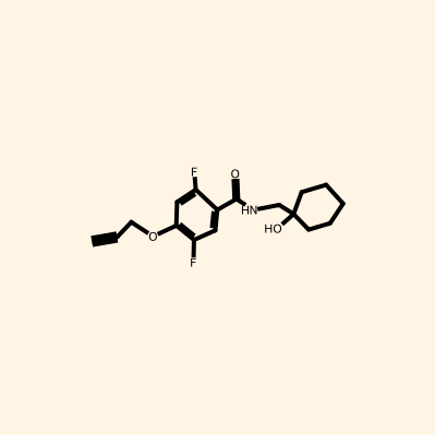 C#CCOc1cc(F)c(C(=O)NCC2(O)CCCCC2)cc1F